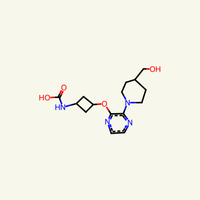 O=C(O)NC1CC(Oc2nccnc2N2CCC(CO)CC2)C1